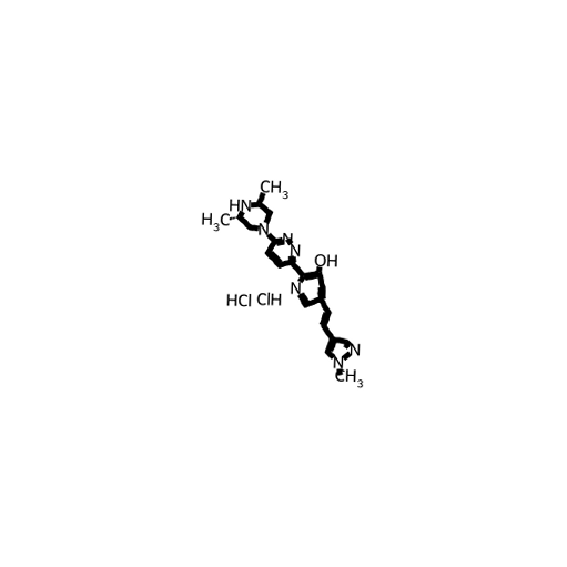 CC1CN(c2ccc(-c3ncc(/C=C/c4cnn(C)c4)cc3O)nn2)C[C@H](C)N1.Cl.Cl